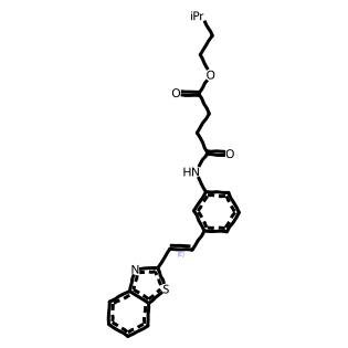 CC(C)CCOC(=O)CCC(=O)Nc1cccc(/C=C/c2nc3ccccc3s2)c1